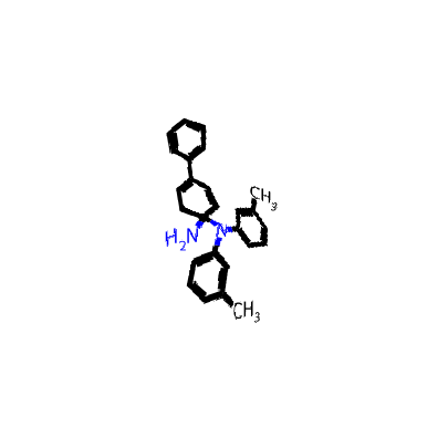 Cc1cccc(N(c2cccc(C)c2)C2(N)C=CC(c3ccccc3)=CC2)c1